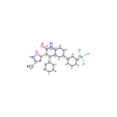 Cc1cc(-c2c(-c3ccccc3)c3cc(-c4cccc(C(F)(F)F)c4)ccc3[nH]c2=O)on1